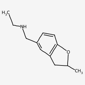 CCNCc1ccc2c(c1)CC(C)O2